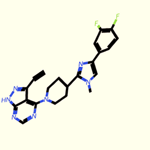 C#Cc1n[nH]c2ncnc(N3CCC(c4nc(-c5ccc(F)c(F)c5)cn4C)CC3)c12